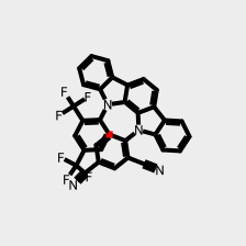 N#Cc1ccc(-n2c3ccccc3c3ccc4c5ccccc5n(-c5ccc(C(F)(F)F)cc5C(F)(F)F)c4c32)c(C#N)c1